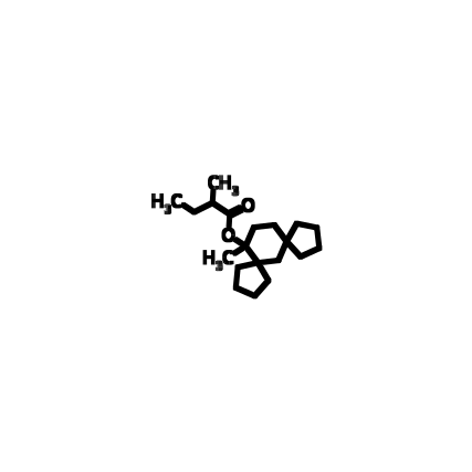 CCC(C)C(=O)OC1(C)CCC2(CCCC2)CC12CCCC2